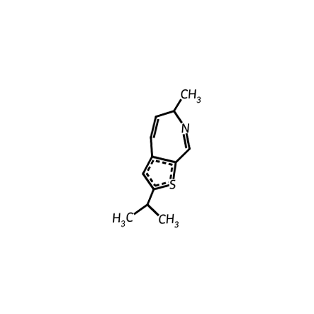 CC1C=Cc2cc(C(C)C)sc2C=N1